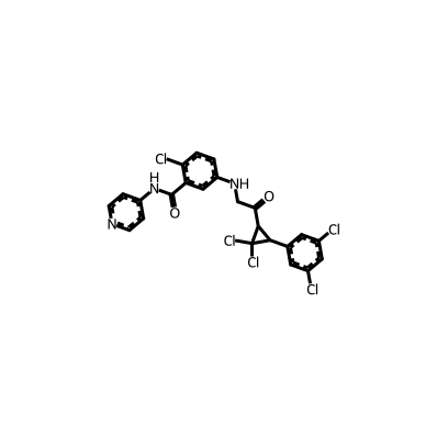 O=C(Nc1ccncc1)c1cc(NCC(=O)C2C(c3cc(Cl)cc(Cl)c3)C2(Cl)Cl)ccc1Cl